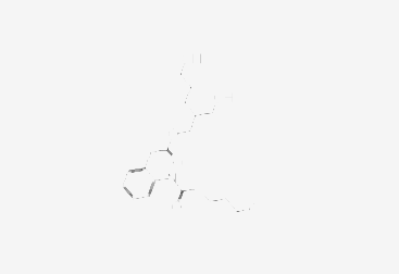 CCCCOC(=O)Nc1ccccc1CC(=O)OCC(CC)CCCC